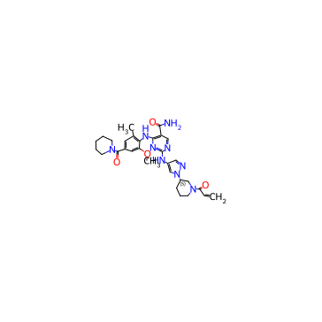 C=CC(=O)N1CCC[C@H](n2cc(Nc3ncc(C(N)=O)c(Nc4c(C)cc(C(=O)N5CCCCC5)cc4OC)n3)cn2)C1